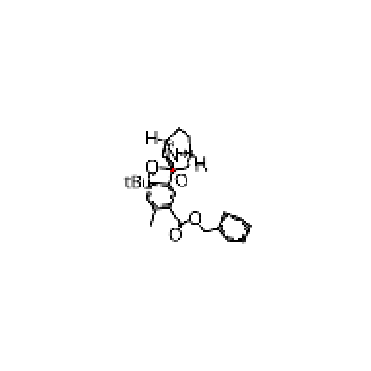 Cc1ccc(C2=C[C@@H]3CC[C@H](C2)N3C(=O)OC(C)(C)C)cc1C(=O)OCc1ccccc1